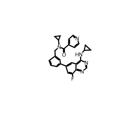 O=C(c1ccncc1)N(Cc1cccc(-c2cc(F)c3ncnc(NC4CC4)c3c2)c1)C1CC1